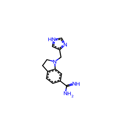 N=C(N)c1ccc2c(c1)N(Cc1c[nH]cn1)CC2